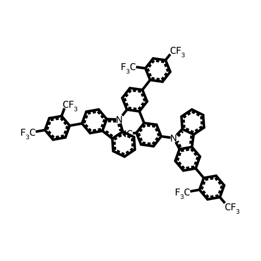 N#Cc1ccc(-n2c3ccccc3c3cc(-c4ccc(C(F)(F)F)cc4C(F)(F)F)ccc32)cc1-c1cc(-c2ccc(C(F)(F)F)cc2C(F)(F)F)ccc1-n1c2ccccc2c2cc(-c3ccc(C(F)(F)F)cc3C(F)(F)F)ccc21